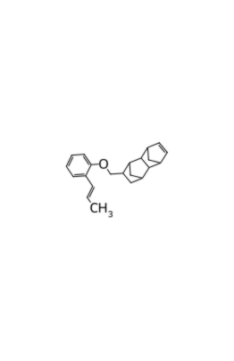 C/C=C/c1ccccc1OCC1CC2CC1C1C3C=CC(C3)C21